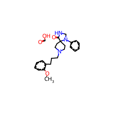 COc1ccccc1CCCN1CCC2(CC1)C(=O)NCN2c1ccccc1.O=CO